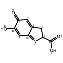 O=C1C=C2CC(C(=O)O)N=C2C=C1O